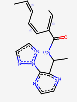 C\C=C/C=C\C(=C/C)C(=O)NC(C)c1nccnc1-n1nccn1